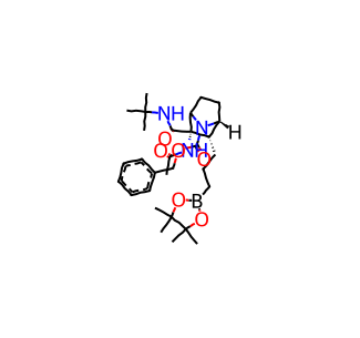 CC(=O)N[C@]1(C(=O)NC(C)(C)C)C2CC[C@H]([C@@H]1CCCB1OC(C)(C)C(C)(C)O1)N2C(=O)OCc1ccccc1